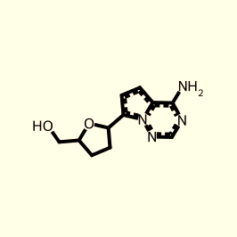 Nc1ncnn2c(C3CCC(CO)O3)ccc12